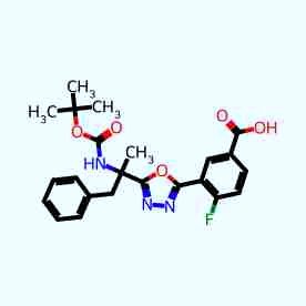 CC(C)(C)OC(=O)NC(C)(Cc1ccccc1)c1nnc(-c2cc(C(=O)O)ccc2F)o1